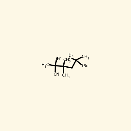 CC(C)C(C)(C#N)C(C)(C)CC(C)(C)C(C)(C)C